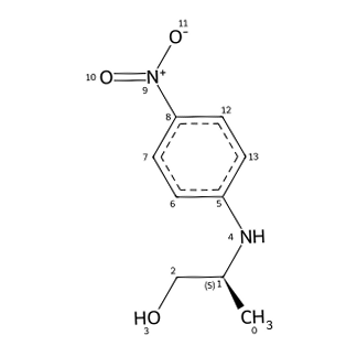 C[C@@H](CO)Nc1ccc([N+](=O)[O-])cc1